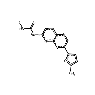 Cc1ccc(-c2cnc3ccc(NC(=O)NI)nc3n2)o1